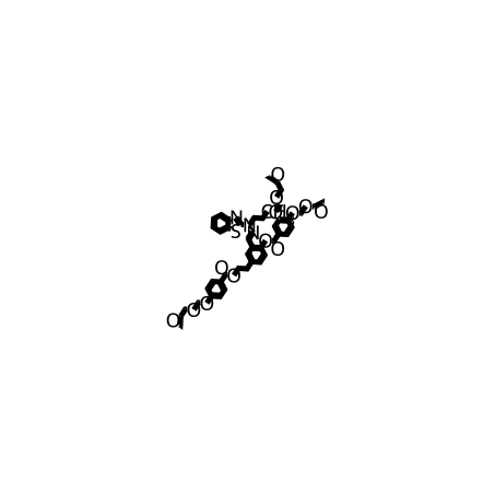 CCCN(/N=C/c1cc(CCOC(=O)c2ccc(OCOCC3CO3)cc2)ccc1OC(=O)c1ccc(OCOC2CO2)c(OCOCC2CO2)c1)c1nc2ccccc2s1